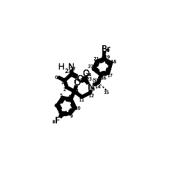 CC(CC1(c2ccc(F)cc2)CCN([C@@H](C)c2ccc(Br)cc2)C(=O)O1)C(N)=O